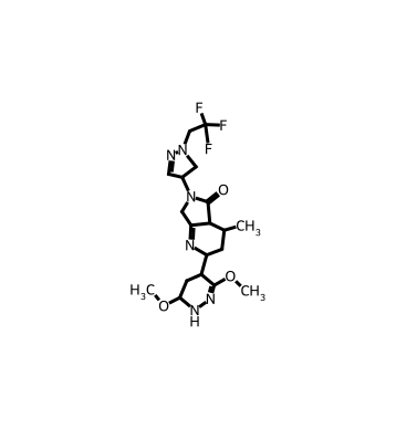 COC1=NNC(OC)CC1C1CC(C)C2C(=O)N(C3C=NN(CC(F)(F)F)C3)CC2=N1